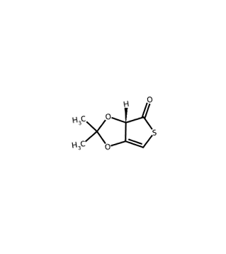 CC1(C)OC2=CSC(=O)[C@H]2O1